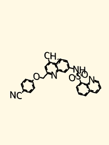 Cc1cc(COc2ccc(C#N)cc2)nc2cc(NS(=O)(=O)c3cccc4cccnc34)ccc12